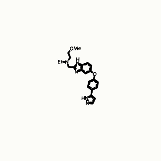 CCN(CCOC)Cc1nc2cc(Oc3ccc(-c4ccn[nH]4)cc3)ccc2[nH]1